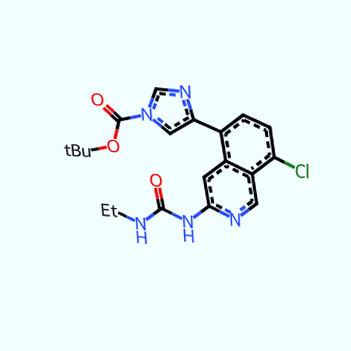 CCNC(=O)Nc1cc2c(-c3cn(C(=O)OC(C)(C)C)cn3)ccc(Cl)c2cn1